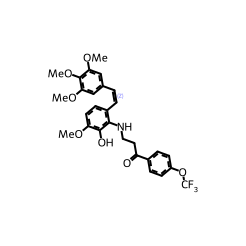 COc1ccc(/C=C\c2cc(OC)c(OC)c(OC)c2)c(NCCC(=O)c2ccc(OC(F)(F)F)cc2)c1O